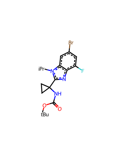 CC(C)n1c(C2(NC(=O)OC(C)(C)C)CC2)nc2c(F)cc(Br)cc21